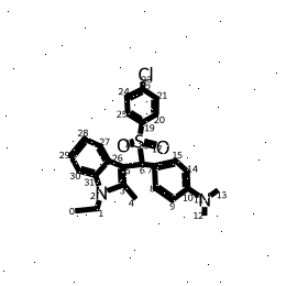 CCn1c(C)c(C(c2ccc(N(C)C)cc2)S(=O)(=O)c2ccc(Cl)cc2)c2ccccc21